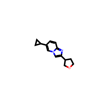 c1cc2nc(C3CCOC3)cn2cc1C1CC1